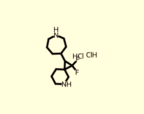 Cl.Cl.FC1(F)C(C2CCCNCC2)C12CCCNC2